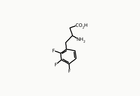 NC(CC(=O)O)Cc1ccc(F)c(F)c1F